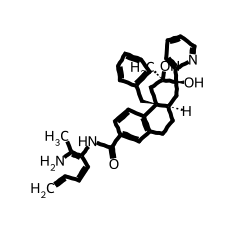 C=C/C=C\C(NC(=O)c1ccc2c(c1)CC[C@@H]1C[C@@](O)(c3ccccn3)[C@](C)(O)C[C@@]21Cc1ccccc1)=C(\C)N